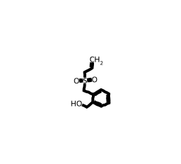 C=CCS(=O)(=O)Cc1ccccc1CO